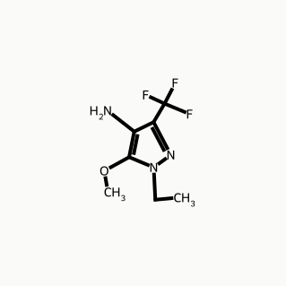 CCn1nc(C(F)(F)F)c(N)c1OC